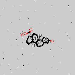 C[C@]12CCC(=O)C=C1CC[C@H]1[C@@H]3CCC[C@@]3(C(=O)O)CC[C@@H]12